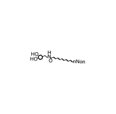 CCCCCCCCCC=CC=CC=CC=CC=CC(=O)NCCc1ccc(O)c(O)c1